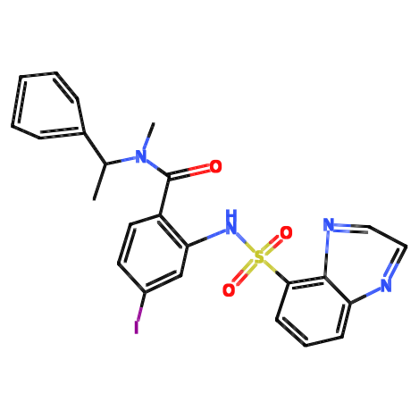 CC(c1ccccc1)N(C)C(=O)c1ccc(I)cc1NS(=O)(=O)c1cccc2nccnc12